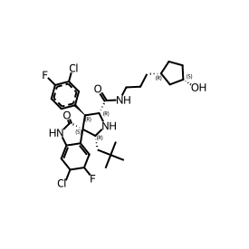 CC(C)(C)C[C@H]1N[C@@H](C(=O)NCCC[C@@H]2CC[C@H](O)C2)[C@H](c2ccc(F)c(Cl)c2)[C@@]12C(=O)NC1=CC(Cl)C(F)C=C12